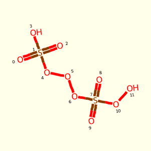 O=S(=O)(O)OOOS(=O)(=O)OO